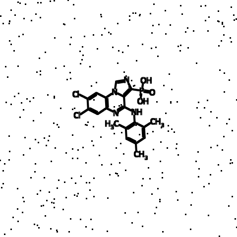 Cc1cc(C)c(Nc2nc3cc(Cl)c(Cl)cc3n3cnc(P(=O)(O)O)c23)c(C)c1